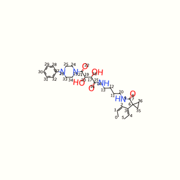 C/C=C\C(=C/C)C1(C(=O)NCCCCNC(=O)[C@H](O)[C@@H](O)C(=O)N2CCN(c3ccccc3)CC2)CC1